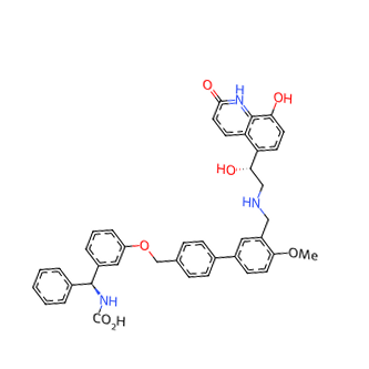 COc1ccc(-c2ccc(COc3cccc([C@@H](NC(=O)O)c4ccccc4)c3)cc2)cc1CNC[C@H](O)c1ccc(O)c2[nH]c(=O)ccc12